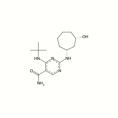 CC(C)(C)Nc1nc(N[C@@H]2CCCC[C@H](O)C2)ncc1C(N)=O